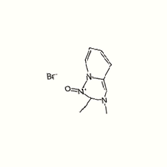 CC1N(C)C=C2C=CC=CN2[N+]1=O.[Br-]